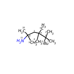 CCC(C)C(C)(C)C(C)(C)CC(C)(C)N